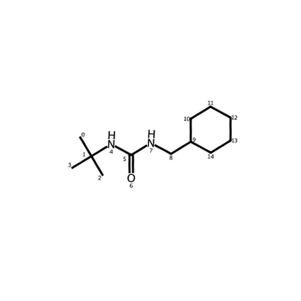 CC(C)(C)NC(=O)NCC1CCCCC1